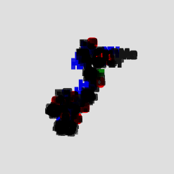 COC(=O)N[C@@H]1CC[C@@H](n2c(=O)n(C)c3cnc4[nH]c(-c5ccc(C(=O)NC[C@H]6CC[C@H](C(=O)N[C@H]7C[C@@H](C(=O)N[C@@H]8CCCc9ccccc98)N(C(=O)[C@@H](NC(=O)[C@H](C)N(C)C(=O)OC(C)(C)C)C8CCCCC8)C7)CC6)c(F)c5)c(-c5ccc6c(cnn6C(C)C)c5)c4c32)C1